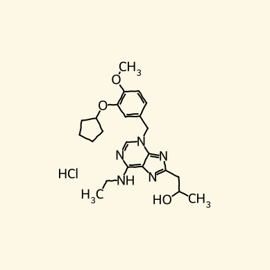 CCNc1ncn(Cc2ccc(OC)c(OC3CCCC3)c2)c2nc(CC(C)O)nc1-2.Cl